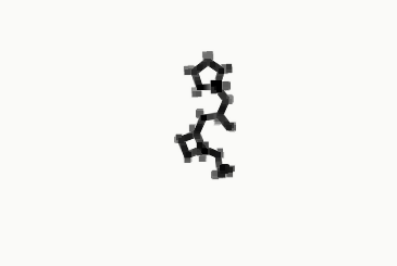 CC(C)CN1CCC1CC(C)CN1CCCC1